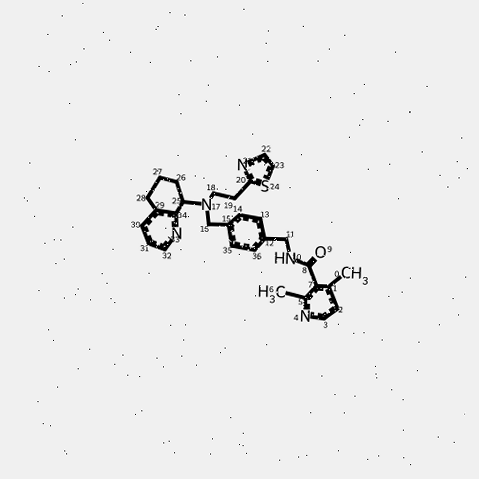 Cc1ccnc(C)c1C(=O)NCc1ccc(CN(CCc2nccs2)C2CCCc3cccnc32)cc1